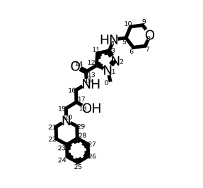 Cn1nc(NC2CCOCC2)cc1C(=O)NCC(O)CN1CCc2ccccc2C1